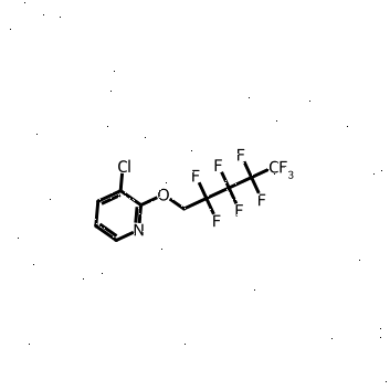 FC(F)(F)C(F)(F)C(F)(F)C(F)(F)COc1ncccc1Cl